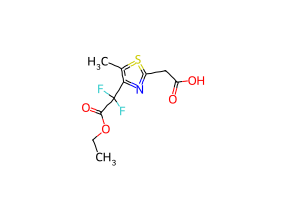 CCOC(=O)C(F)(F)c1nc(CC(=O)O)sc1C